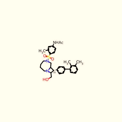 CC(=O)Nc1ccc(S(=O)(=O)N2CCCCN3C(CO)[C@@H](c4ccc(-c5cccc(C)c5C)cc4)C3C2)c(C)c1